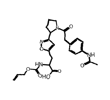 C=CCOC(=O)NC(Cc1cc(C2CCCN2C(=O)Cc2ccc(NC(C)=O)cc2)no1)C(=O)O